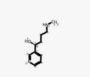 CNCCC[C@H](O)c1cccnc1